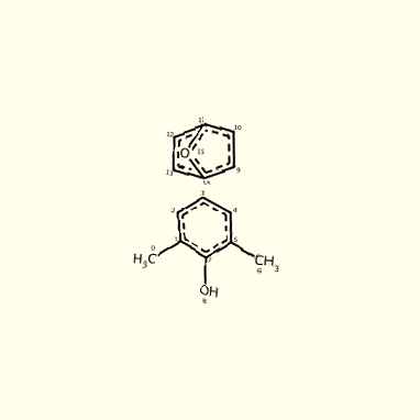 Cc1cccc(C)c1O.c1cc2ccc1o2